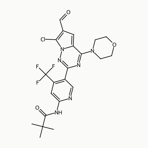 CC(C)(C)C(=O)Nc1cc(C(F)(F)F)c(-c2nc(N3CCOCC3)c3cc(C=O)c(Cl)n3n2)cn1